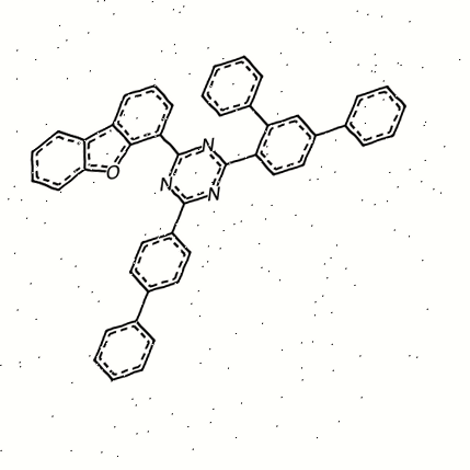 c1ccc(-c2ccc(-c3nc(-c4ccc(-c5ccccc5)cc4-c4ccccc4)nc(-c4cccc5c4oc4ccccc45)n3)cc2)cc1